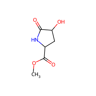 COC(=O)C1CC(O)C(=O)N1